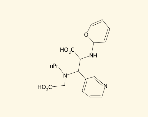 CCCN(CC(=O)O)C(c1cccnc1)C(NC1C=CC=CO1)C(=O)O